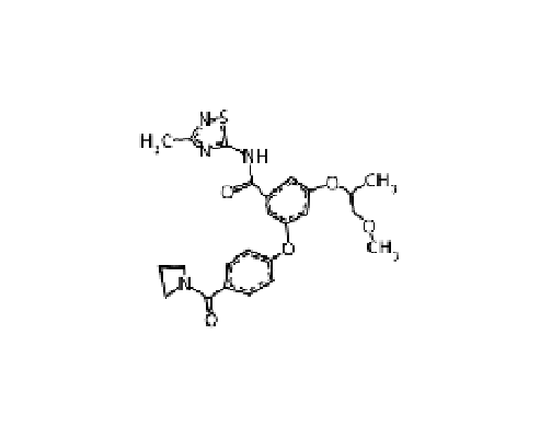 COCC(C)Oc1cc(Oc2ccc(C(=O)N3CCC3)cc2)cc(C(=O)Nc2nc(C)ns2)c1